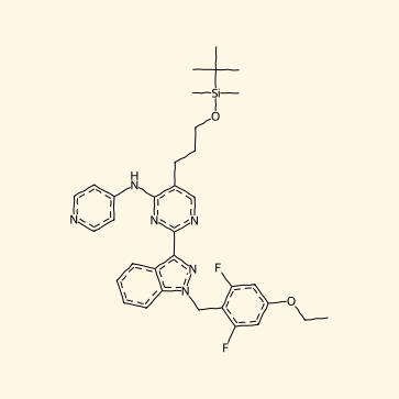 CCOc1cc(F)c(Cn2nc(-c3ncc(CCCO[Si](C)(C)C(C)(C)C)c(Nc4ccncc4)n3)c3ccccc32)c(F)c1